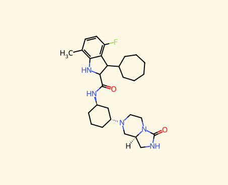 Cc1ccc(F)c2c1NC(C(=O)N[C@@H]1CCC[C@@H](N3CCN4C(=O)NC[C@H]4C3)C1)C2C1CCCCCC1